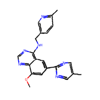 COc1cc(-c2ncc(C)cn2)cc2c(NCc3ccc(C)nc3)ncnc12